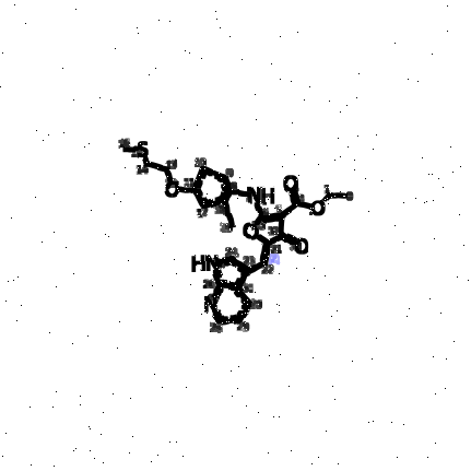 CCOC(=O)C1=C(Nc2ccc(OCCSC)cc2C)O/C(=C\c2c[nH]c3ncccc23)C1=O